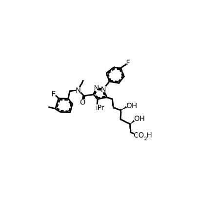 Cc1cccc(CN(C)C(=O)c2nn(-c3ccc(F)cc3)c(CC[C@@H](O)C[C@@H](O)CC(=O)O)c2C(C)C)c1F